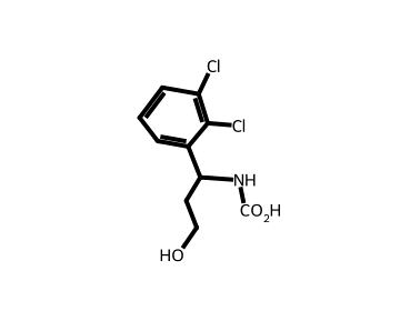 O=C(O)NC(CCO)c1cccc(Cl)c1Cl